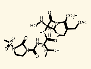 CC(=O)OCC1=C(C(=O)O)N2C(=O)[C@@](NO)(NC(=O)[C@H](NC(=O)N3CCN(S(C)(=O)=O)C3=O)[C@H](C)O)[C@@H]2SC1